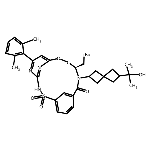 Cc1cccc(C)c1-c1cc2nc(n1)NS(=O)(=O)c1cccc(c1)C(=O)N(C1CC3(C1)CC(C(C)(C)O)C3)[C@H](CC(C)(C)C)CO2